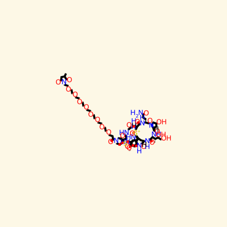 CC[C@H](C)[C@@H]1NC(=O)CCNC(=O)[C@@H]2Cc3c([nH]c4c(CSC5CCN(C(=O)CCOCCOCCOCCOCCOCCOCCOCCOCCN6C(=O)CC(C)C6=O)CC5)c(OC)ccc34)[S+]([O-])C[C@H](NC(=O)CNC1=O)C(=O)N[C@@H](CCC(N)=O)C(=O)N1C[C@H](O)C[C@H]1C(=O)N[C@@H]([C@@H](C)[C@@H](O)CO)C(=O)N2